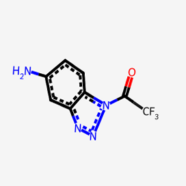 Nc1ccc2c(c1)nnn2C(=O)C(F)(F)F